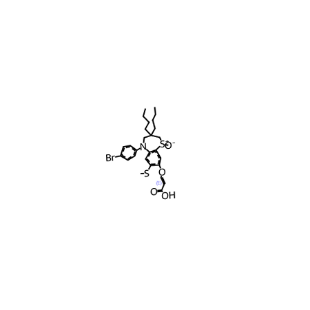 CCCCC1(CCCC)CN(c2ccc(Br)cc2)c2cc(SC)c(O/C=C/C(=O)O)cc2[S+]([O-])C1